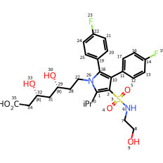 CC(C)c1c(S(=O)(=O)NCCO)c(-c2ccc(F)cc2)c(-c2ccc(F)cc2)n1CC[C@@H](O)C[C@@H](O)CC(=O)O